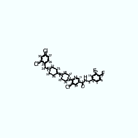 O=C(NCc1ccc(F)c(F)c1)c1cnc(N2CCN(C3CCN(Cc4ccc(Cl)cc4Cl)CC3)CC2)c(Cl)c1